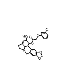 O=C(COc1cccc(Cl)c1)OC1C(O)C=C2CCN3Cc4cc5c(cc4C1C23)OCO5